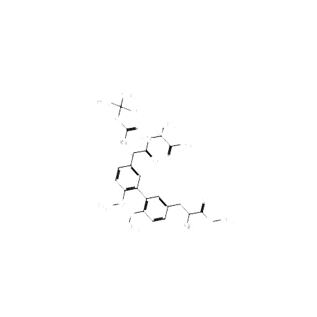 COC(=O)C(N)Cc1ccc(OC)c(-c2cc([C@H](NC(=O)OC(C)(C)C)C(=O)N[C@@H](C)C(=O)O)ccc2OC)c1